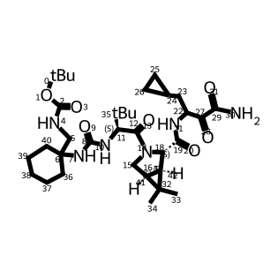 CC(C)(C)OC(=O)NCC1(NC(=O)N[C@H](C(=O)N2C[C@H]3[C@@H]([C@H]2C(=O)NC(CC2CC2)C(=O)C(N)=O)C3(C)C)C(C)(C)C)CCCCC1